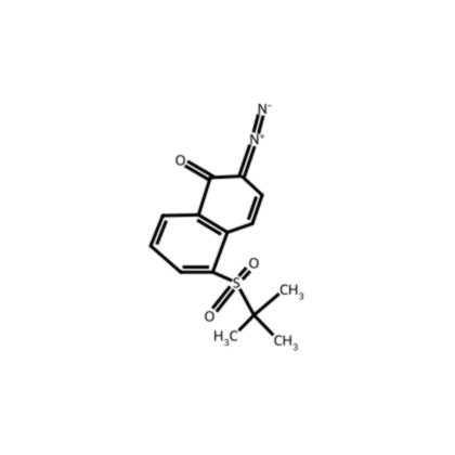 CC(C)(C)S(=O)(=O)c1cccc2c1C=CC(=[N+]=[N-])C2=O